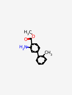 COC(=O)c1ccc(-c2ccccc2C)cc1N